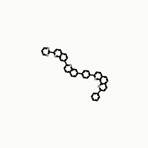 c1ccc(-c2ccc3ccc4ccc(-c5ccc(-c6ccc7ccc(-c8ccc9ccc(-c%10ncccn%10)nc9c8)nc7c6)cc5)nc4c3n2)cc1